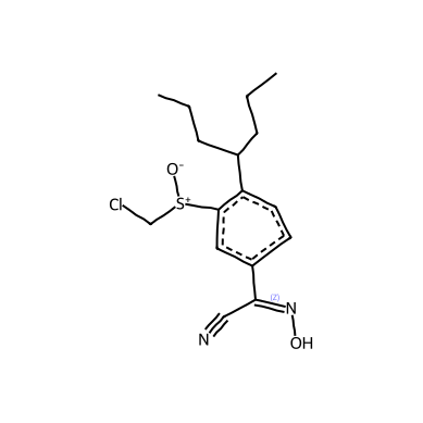 CCCC(CCC)c1ccc(/C(C#N)=N/O)cc1[S+]([O-])CCl